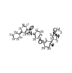 Cn1cc(-c2cc(Oc3cccc(NC(=O)c4cccc(-c5ccccc5)c4)c3)ccn2)cn1